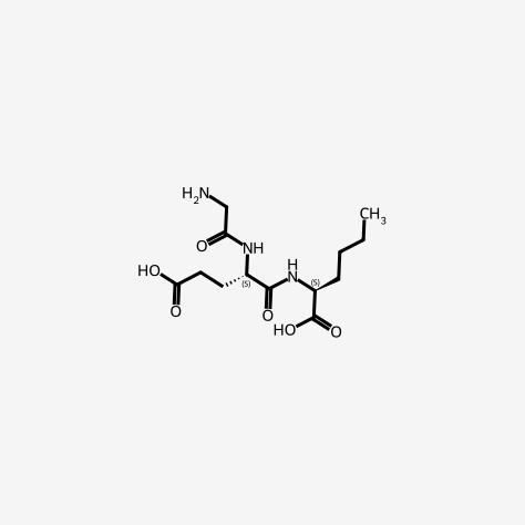 CCCC[C@H](NC(=O)[C@H](CCC(=O)O)NC(=O)CN)C(=O)O